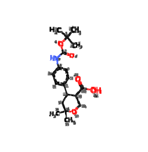 CC(C)(C)OC(=O)Nc1ccc(C2CC(C)(C)OCC2C(=O)O)cc1